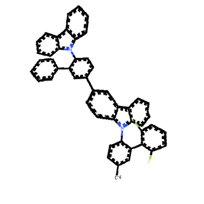 N#Cc1ccc(-n2c3ccccc3c3cc(-c4ccc(-n5c6ccccc6c6ccccc65)c(-c5ccccc5)c4)ccc32)c(-c2c(F)cccc2F)c1